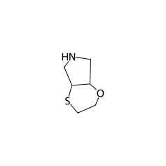 C1CSC2CNCC2O1